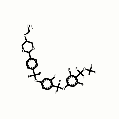 CCOC1COC(c2ccc(C(F)(F)Oc3ccc(C(F)(F)Oc4cc(F)c(C(F)(F)OC(F)(F)F)c(F)c4)c(F)c3)cc2)OC1